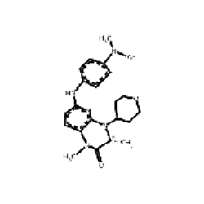 CC(=O)N(C)c1ccc(Nc2ccc3c(n2)N(C2CCOCC2)[C@H](C)C(=O)N3C)cc1